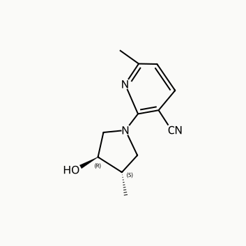 Cc1ccc(C#N)c(N2C[C@H](C)[C@@H](O)C2)n1